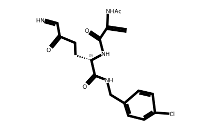 C=C(NC(C)=O)C(=O)N[C@@H](CCC(=O)C=N)C(=O)NCc1ccc(Cl)cc1